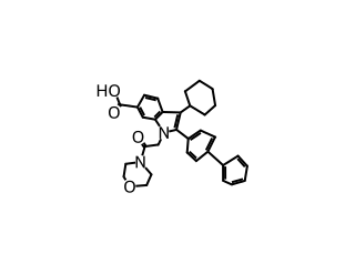 O=C(O)c1ccc2c(C3CCCCC3)c(-c3ccc(-c4ccccc4)cc3)n(CC(=O)N3CCOCC3)c2c1